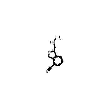 CNC[C@@H]1OCc2c(C#N)cccc21